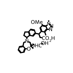 COc1cc(C(CC(=O)O)c2ccc3c(c2)C(N2Cc4ccccc4OC(C)(C)C2)CC3)c(C)c2nnn(C)c12.O=CO